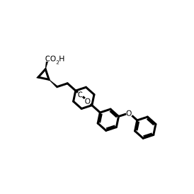 O=C(O)[C@@H]1C[C@@H]1CCC12CCC(c3cccc(Oc4ccccc4)c3)(CC1)OC2